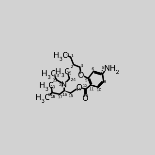 CCCCOc1cc(N)ccc1C(=O)OC[C@@H](CC(C)C)N(CC)CC